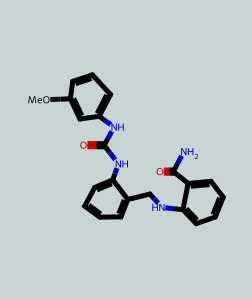 COc1cccc(NC(=O)Nc2ccccc2CNc2ccccc2C(N)=O)c1